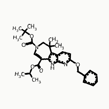 CC(C)OC(=O)C1=CN(C(=O)OC(C)(C)C)CC(C)(C)c2c1[nH]c1nc(OCc3ccccc3)ccc21